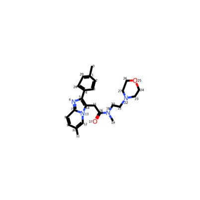 Cc1ccc(-c2nc3ccc(C)cn3c2CC(=O)N(C)CCN2CCOCC2)cc1